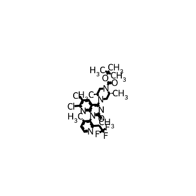 Cc1ccnc(C(C)C(F)(F)F)c1-n1c(=O)nc(N2C[C@@H](C)N(C(=O)OC(C)(C)C)C[C@@H]2C)c2cc(Cl)c(Cl)nc21